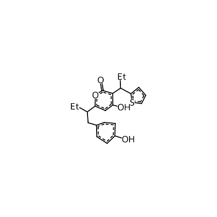 CCC(Cc1ccc(O)cc1)c1cc(O)c(C(CC)c2cccs2)c(=O)o1